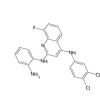 Nc1ccccc1Nc1cc(Nc2ccc(Cl)c(Cl)c2)c2cccc(F)c2n1